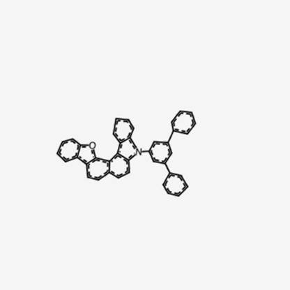 c1ccc(-c2cc(-c3ccccc3)cc(-n3c4ccccc4c4c5c(ccc6c7ccccc7oc65)ccc43)c2)cc1